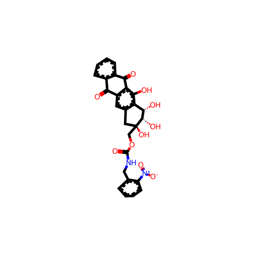 O=C(NCc1ccccc1[N+](=O)[O-])OC[C@]1(O)Cc2cc3c(c(O)c2[C@H](O)[C@@H]1O)C(=O)c1ccccc1C3=O